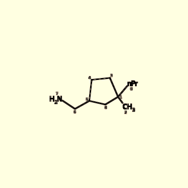 CCCC1(C)CCC(CN)C1